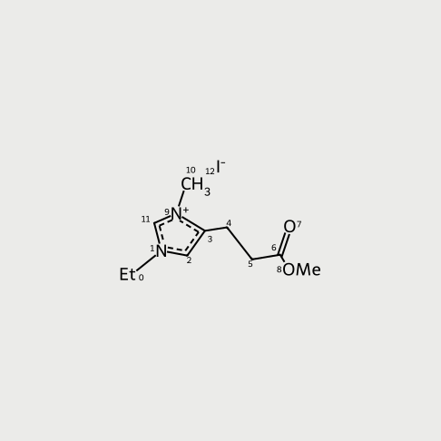 CCn1cc(CCC(=O)OC)[n+](C)c1.[I-]